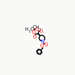 CC1(C)OC(=O)C(=C2CCCN(C(=O)OCc3ccccc3)CC2)C(=O)O1